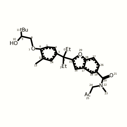 CCC(CC)(c1ccc(OCC(O)C(C)(C)C)c(C)c1)c1cc2cc(C(=O)N(C)CC(C)=O)ccc2o1